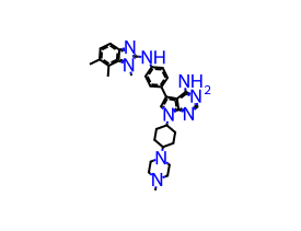 Cc1ccc2nc(Nc3ccc(-c4cn(C5CCC(N6CCN(C)CC6)CC5)c5ncnc(N)c45)cc3)n(C)c2c1C